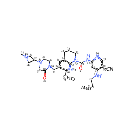 COCCNc1cc(NC(=O)N2CCCc3cc(CN4CCN(C5CN(C)C5)CC4=O)c(C=O)nc32)ncc1C#N